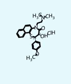 COc1ccc([C@@H]2Sc3c(ccc4ccccc34)N(CCN(C)C)C(=O)[C@@H]2O)cc1.Cl